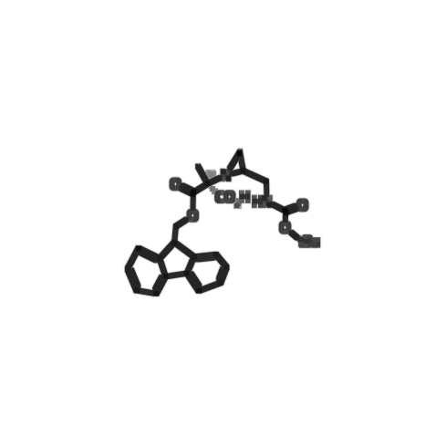 CC(C)(C)OC(=O)NCC1CN1[C@@](C)(C(=O)O)C(=O)OCC1c2ccccc2-c2ccccc21